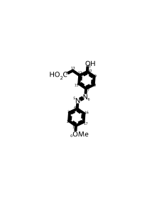 COc1ccc(/N=N/c2ccc(O)c(CC(=O)O)c2)cc1